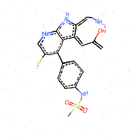 C=C(O)/C=c1\c(=C/N)[nH]c2ncc(F)c(-c3ccc(NS(C)(=O)=O)cc3)c12